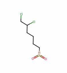 O=[SH](=O)CCCCC(Cl)CCl